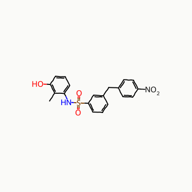 Cc1c(O)cccc1NS(=O)(=O)c1cccc(Cc2ccc([N+](=O)[O-])cc2)c1